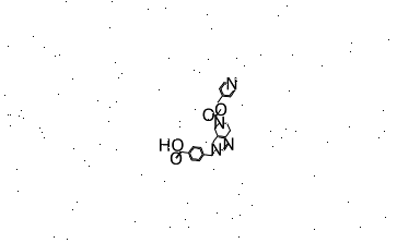 O=C(O)c1ccc(CN2C=NC3=C(C2)CN(C(=O)OCc2ccncc2)CC3)cc1